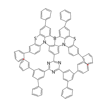 c1ccc(-c2cc(-c3ccccc3)cc(-c3nc(-c4cc(-c5ccccc5)cc(-c5ccccc5)c4)nc(-c4cc5c6c(c4)N4c7ccc(-c8ccccc8)cc7Sc7cc(-c8ccccc8)cc(c74)B6c4cc(-c6ccccc6)cc6c4N5c4ccc(-c5ccccc5)cc4S6)n3)c2)cc1